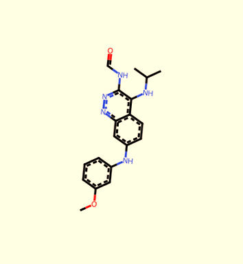 COc1cccc(Nc2ccc3c(NC(C)C)c(NC=O)nnc3c2)c1